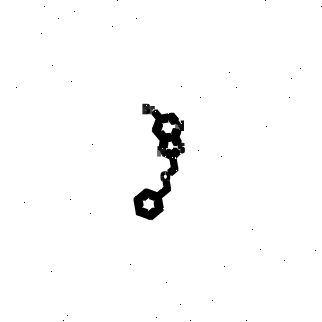 Brc1cnc2sc(COCc3ccccc3)nc2c1